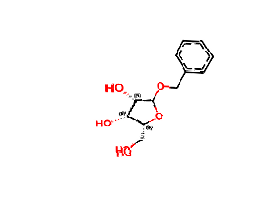 OC[C@H]1OC(OCc2ccccc2)[C@@H](O)[C@H]1O